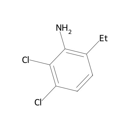 CCc1ccc(Cl)c(Cl)c1N